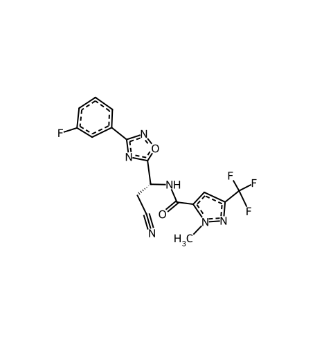 Cn1nc(C(F)(F)F)cc1C(=O)N[C@H](CC#N)c1nc(-c2cccc(F)c2)no1